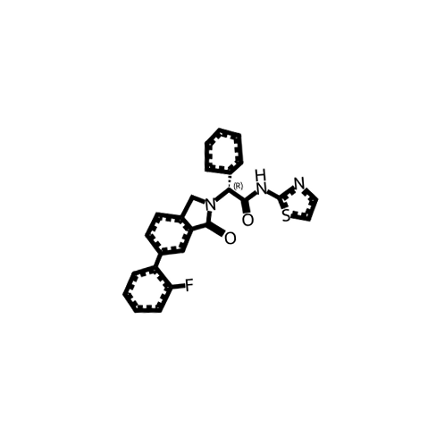 O=C(Nc1nccs1)[C@@H](c1ccccc1)N1Cc2ccc(-c3ccccc3F)cc2C1=O